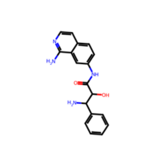 Nc1nccc2ccc(NC(=O)C(O)C(N)c3ccccc3)cc12